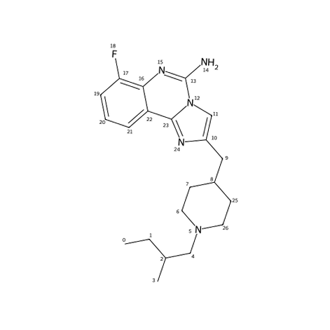 CCC(C)CN1CCC(Cc2cn3c(N)nc4c(F)cccc4c3n2)CC1